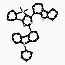 C[Si]1(C)c2ccccc2-c2nc(-c3cccc4c3c3ccccc3n4-c3ccccc3)nc(-c3cccc4c3oc3ccccc34)c21